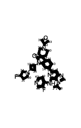 CC(C)n1cnc2cc(-c3ccc4c(c3)N([C@H]3C[C@@H](N5CC[C@@H](F)C5)C3)C(=O)C43CCN(C4COC4)CC3)nc(Nc3ccncc3F)c21